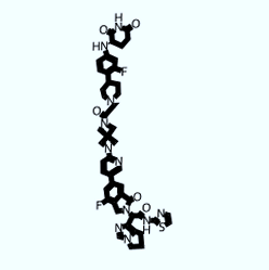 O=C1CC[C@H](Nc2ccc(C3CCN(CC(=O)N4CC5(C4)CN(c4ccc(-c6cc(F)c7c(c6)C(=O)N(C(C(=O)Nc6nccs6)c6ncn8c6CCC8)C7)cn4)C5)CC3)c(F)c2)C(=O)N1